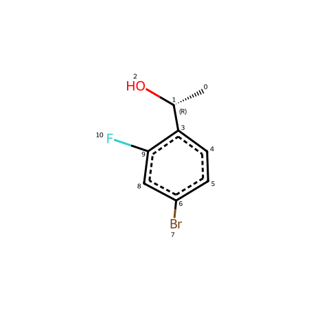 C[C@@H](O)c1ccc(Br)cc1F